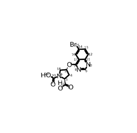 O=C(O)[C@@H]1C[C@@H](Oc2ncnc3ccc(Br)cc23)CN1C(=O)O